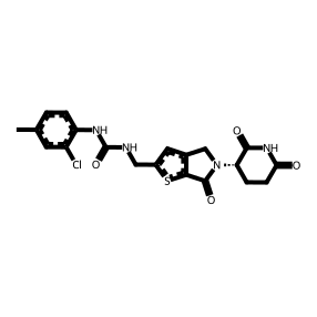 Cc1ccc(NC(=O)NCc2cc3c(s2)C(=O)N([C@H]2CCC(=O)NC2=O)C3)c(Cl)c1